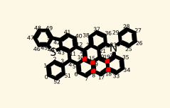 c1ccc(C(c2ccccc2)c2c(-c3cc4ccccc4c4c(N(c5ccccc5)c5ccccc5)cccc34)ccc3c2sc2ccccc23)cc1